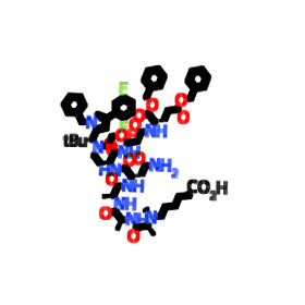 C[C@H](NC(=O)[C@H](C)NC(=O)[C@H](C)N(C)CCCCCC(=O)O)C(=O)N[C@@H](CC(N)=O)C(=O)N[C@@H](CCN(C(=O)CO)[C@@H](c1cc(-c2cc(F)ccc2F)cn1Cc1ccccc1)C(C)(C)C)C(=O)NCCC(=O)N[C@@H](CCC(=O)OCc1ccccc1)C(=O)OCc1ccccc1